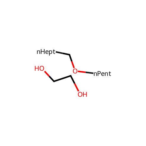 CCCCCCCCOCCCCC.OCCO